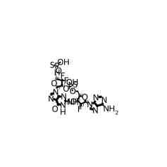 Nc1nc2c(ncn2[C@@H]2O[C@H](CO[PH](O)=S)C(F)(F)[C@H]2OP(O)(=S)OC[C@H]2O[C@@H](n3cnc4c(N)ncnc43)[C@@H](F)[C@@H]2O)c(=O)[nH]1